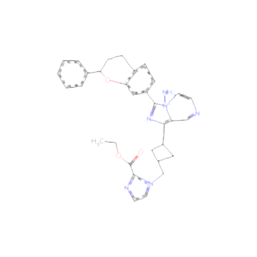 CCOC(=O)c1nccn1CC1CC(C2=C3C=NC=C[N+]3(N)C(c3ccc4c(c3)OC(c3ccccc3)CC4)=N2)C1